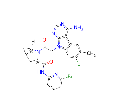 Cc1cc2c3c(N)ncnc3n(CC(=O)N3[C@@H]4CC4C[C@H]3C(=O)Nc3cccc(Br)n3)c2cc1F